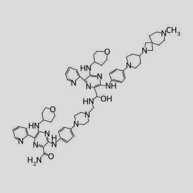 CN1CCC2(CC1)CN(C1CCN(c3ccc(Nc4nc(NC5CCOCC5)c(-c5ccccn5)nc4C(O)NCN4CCN(c5ccc(Nc6nc(NC7CCOCC7)c(-c7ccccn7)nc6C(N)=O)cc5)CC4)cc3)CC1)C2